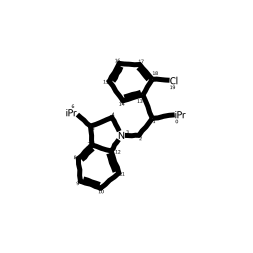 CC(C)C(CN1CC(C(C)C)c2ccccc21)c1ccccc1Cl